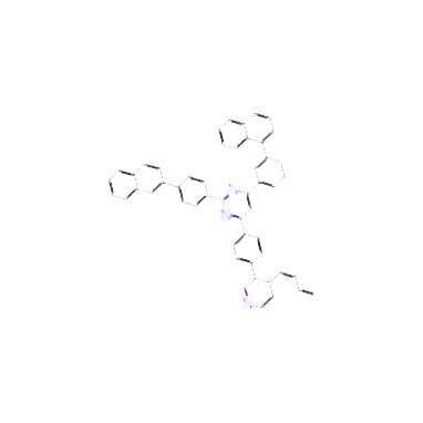 C=C/C=C\C1C=CN=CC1c1ccc(-c2cc(C3=CCCC(c4cccc5ccccc45)=C3)nc(-c3ccc(-c4ccc5ccccc5c4)cc3)n2)cc1